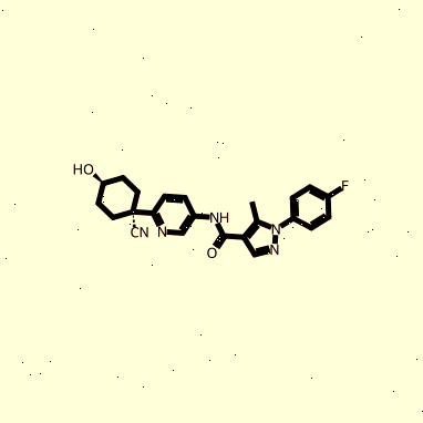 Cc1c(C(=O)Nc2ccc([C@]3(C#N)CC[C@H](O)CC3)nc2)cnn1-c1ccc(F)cc1